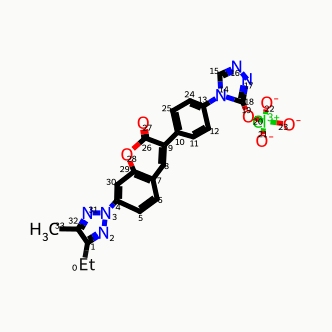 CCc1nn(-c2ccc3cc(-c4ccc(-n5cnnc5O[Cl+3]([O-])([O-])[O-])cc4)c(=O)oc3c2)nc1C